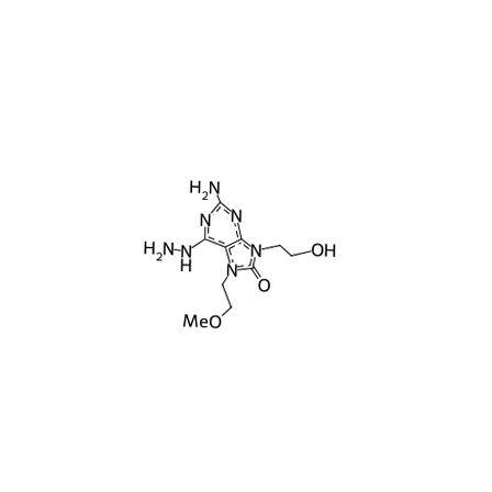 COCCn1c(=O)n(CCO)c2nc(N)nc(NN)c21